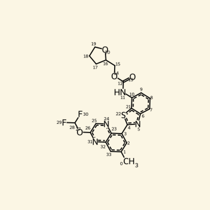 Cc1cc(-c2nc3cccc(NC(=O)OCC4CCCO4)c3s2)c2ncc(OC(F)F)nc2c1